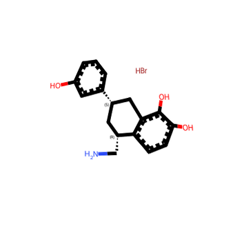 Br.NC[C@@H]1C[C@H](c2cccc(O)c2)Cc2c1ccc(O)c2O